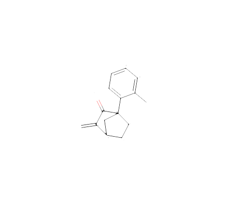 C=C1C(=O)C2(c3ccccc3C)CCC1C2